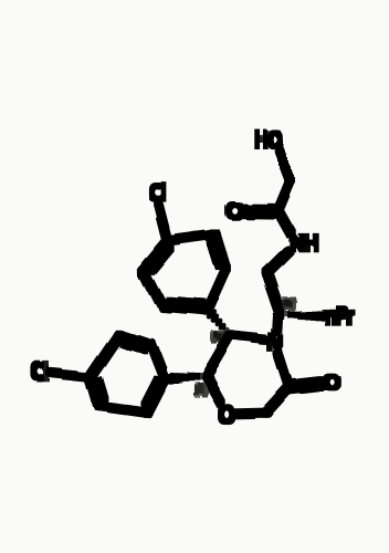 CCC[C@@H](CNC(=O)CO)N1C(=O)CO[C@H](c2ccc(Cl)cc2)[C@@H]1c1ccc(Cl)cc1